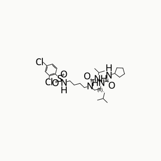 CC(C)C[C@H](CN(CCCCNS(=O)(=O)c1ccc(Cl)cc1Cl)C(=O)NC(C)C)NC(=O)NC1CCCC1